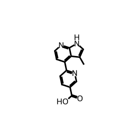 Cc1c[nH]c2nccc(-c3ccc(C(=O)O)cn3)c12